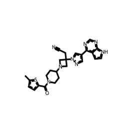 Cc1ccc(C(=O)N2CCC(N3CC(CC#N)(n4cc(-c5ncnc6[nH]ccc56)cn4)C3)CC2)s1